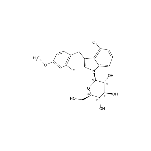 COc1ccc(Cc2cn([C@@H]3O[C@H](CO)[C@@H](O)[C@H](O)[C@H]3O)c3cccc(Cl)c23)c(F)c1